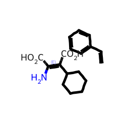 C=Cc1ccccc1.N/C(C(=O)O)=C(/C(=O)O)C1CCCCC1